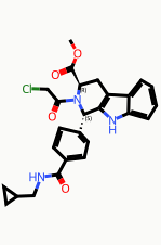 COC(=O)[C@H]1Cc2c([nH]c3ccccc23)[C@H](c2ccc(C(=O)NCC3CC3)cc2)N1C(=O)CCl